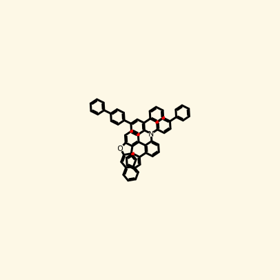 c1ccc(-c2ccc(-c3ccc(N(c4ccc(-c5ccccc5)cc4)c4cccc(-c5ccccc5)c4-c4cccc5oc6cc7ccccc7cc6c45)c(-c4ccccc4)c3)cc2)cc1